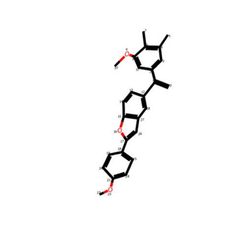 C=C(c1cc(C)c(C)c(OC)c1)c1ccc2oc(-c3ccc(OC)cc3)cc2c1